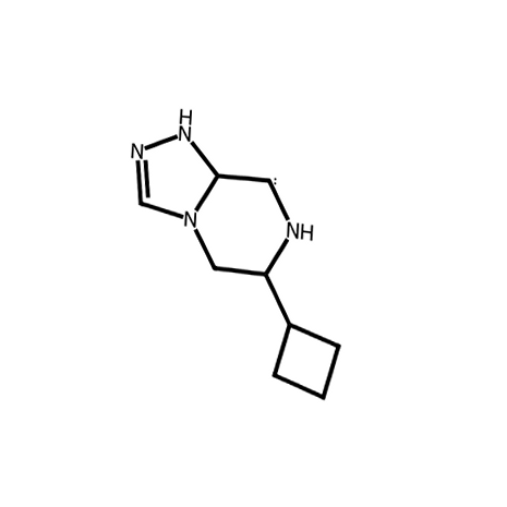 [C]1NC(C2CCC2)CN2C=NNC12